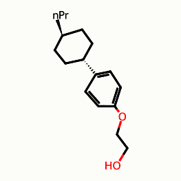 CCC[C@H]1CC[C@H](c2ccc(OCCO)cc2)CC1